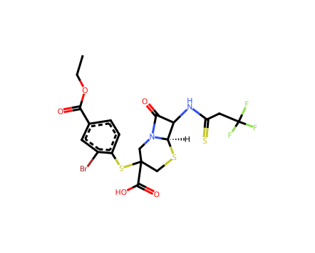 CCOC(=O)c1ccc(SC2(C(=O)O)CS[C@@H]3C(NC(=S)CC(F)(F)F)C(=O)N3C2)c(Br)c1